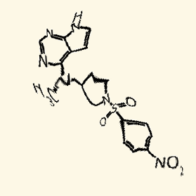 CN(c1ncnc2[nH]ccc12)C1CCN(S(=O)(=O)c2ccc([N+](=O)[O-])cc2)C1